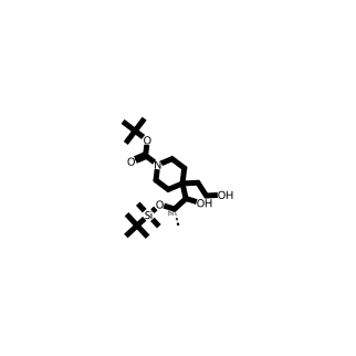 C[C@H](O[Si](C)(C)C(C)(C)C)C(O)C1(CCO)CCN(C(=O)OC(C)(C)C)CC1